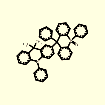 CC1(C)c2ccccc2N(c2ccccc2)c2ccc(C3(c4ccccc4)c4ccccc4P(=O)(c4ccccc4)c4ccccc43)cc21